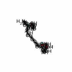 CC(C)(CNC(=O)CCOCCOCCOCCONC(=O)c1ccc(-c2c3ccc(=N)c(S(=O)(=O)O)c-3oc3c(S(=O)(=O)O)c(N)ccc23)c(C(=O)O)c1)SSCOC1C[C@H](n2ccc(N)nc2=O)O[C@@H]1COP(=O)(O)OP(=O)(O)OP(=O)(O)O